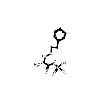 C[C@H](NOCCc1ccccc1)C(=O)OP(=O)(O)Cl